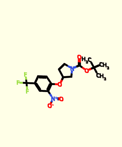 CC(C)(C)OC(=O)N1CCC(Oc2ccc(C(F)(F)F)cc2[N+](=O)[O-])C1